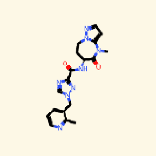 Cc1ncccc1Cn1cnc(C(=O)N[C@H]2CCn3nccc3N(C)C2=O)n1